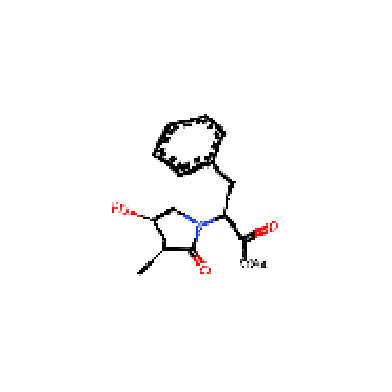 COC(=O)[C@H](Cc1ccccc1)N1C[C@H](O)[C@H](C)C1=O